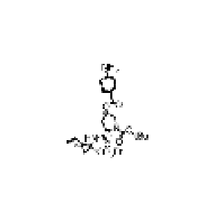 C=C[C@@H]1C[C@]1(NC(=O)[C@@H]1C[C@H](OC(=O)c2ccc(N)cc2)CN1C(=O)OC(C)(C)C)C(=O)OCC